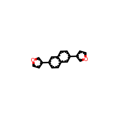 c1cc(-c2ccc3cc(-c4ccoc4)ccc3c2)co1